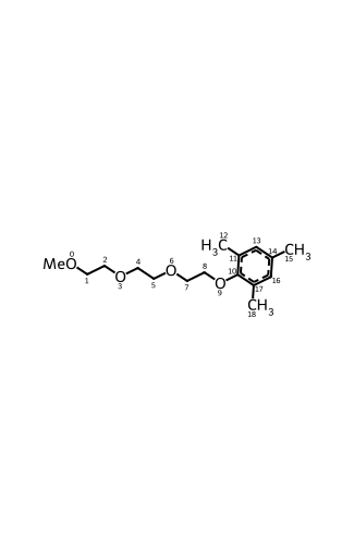 COCCOCCOCCOc1c(C)cc(C)cc1C